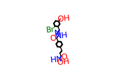 O=C(/C=C/c1ccc(C(=O)N/N=C/c2cc(O)ccc2Br)cc1)NO